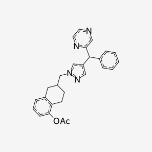 CC(=O)Oc1cccc2c1CCC(Cn1cc(C(c3ccccc3)c3cnccn3)cn1)C2